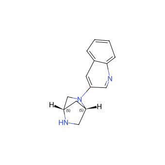 c1ccc2ncc(N3C[C@@H]4C[C@H]3CN4)cc2c1